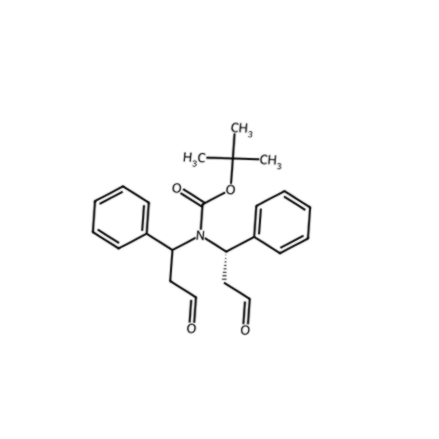 CC(C)(C)OC(=O)N(C(CC=O)c1ccccc1)[C@@H](CC=O)c1ccccc1